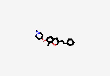 Cc1c(OC2CCN(C)CC2)ccc2c1OCC(CCc1ccccc1)=C2